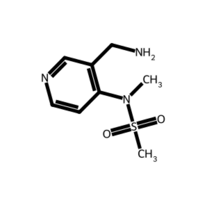 CN(c1ccncc1CN)S(C)(=O)=O